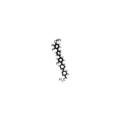 C=CC1CCC(C2CC=C(c3ccc(-c4ccc(-c5ccc(OCCC)c(F)c5F)cc4)cc3F)CC2)CC1